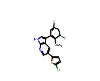 COC1=C(c2c[nH]c3ncc(-c4ccc(Cl)s4)cc23)C=C(F)C[C@H]1F